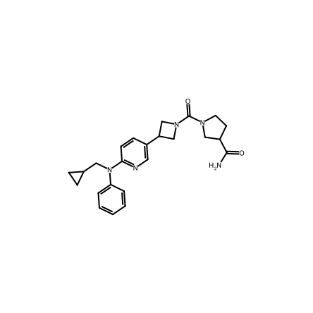 NC(=O)C1CCN(C(=O)N2CC(c3ccc(N(CC4CC4)c4ccccc4)nc3)C2)C1